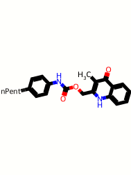 CCCCCc1ccc(NC(=O)OCc2[nH]c3ccccc3c(=O)c2C)cc1